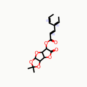 C\C=C/C(/C=C/C(=O)OC1C(=O)OC2C3OC(C)(C)OC3OC12)=C\C